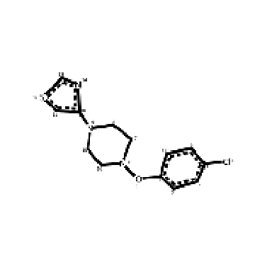 Clc1ccc(ON2CCN(c3cs[c]n3)CC2)cc1